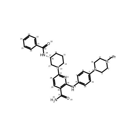 CC(C)N1CCN(c2ccc(Nc3nc(N4CCC[C@@H](NC(=O)c5ccccc5)C4)ccc3C(N)=O)cc2)CC1